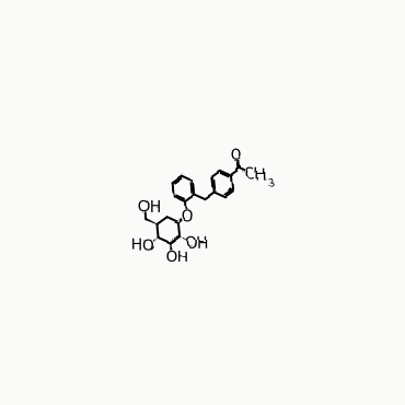 CC(=O)c1ccc(Cc2ccccc2O[C@@H]2C[C@H](CO)[C@@H](O)[C@H](O)[C@H]2O)cc1